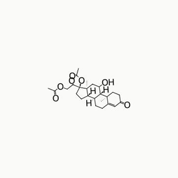 CC(=O)OCC(=O)[C@@]1(OC(C)=O)CC[C@H]2[C@@H]3CCC4=CC(=O)CC[C@]4(C)[C@H]3C(O)C[C@@]21C